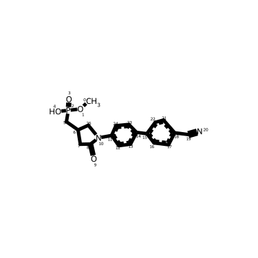 COP(=O)(O)CC1CC(=O)N(c2ccc(-c3ccc(C#N)cc3)cc2)C1